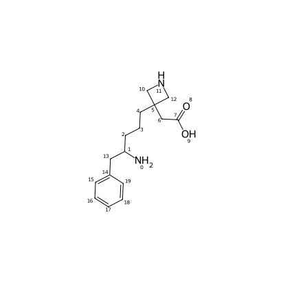 NC(CCCC1(CC(=O)O)CNC1)Cc1ccccc1